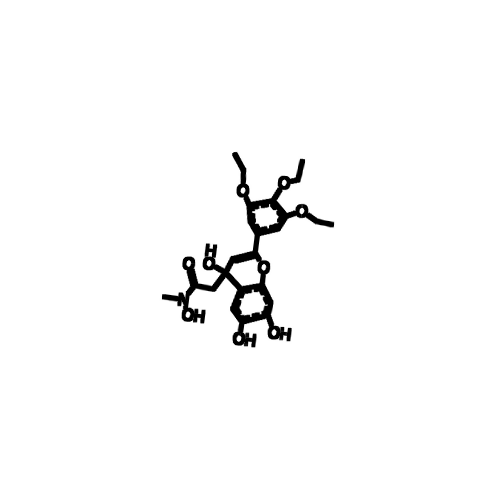 CCOc1cc(C2=CC(O)(CC(=O)N(C)O)c3cc(O)c(O)cc3O2)cc(OCC)c1OCC